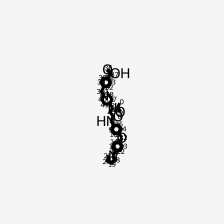 CC(=O)N(CC(=O)Nc1ccc(Oc2ccc(-n3cccc3)cc2)cc1)C1CCN(Cc2ccc(C(=O)O)cc2)CC1